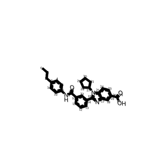 CCCc1ccc(NC(=O)c2cccc(-c3nc4cc(C(=O)O)ccc4n3C3CCCC3)c2)cc1